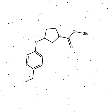 CC(C)(C)OC(=O)N1CCC(Oc2ccc(CF)cc2)C1